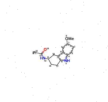 COc1ccc2[nH]c3c(c2c1)CC(NC(=O)C(C)C)CC3